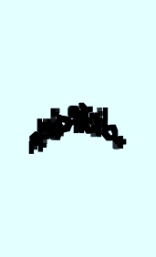 CC(C)n1c(=O)c(-c2cc(F)c(NS(=O)(=O)CC3CCC3(F)F)c(F)c2)nc2cnc(NC3CCC(N(C)C)CC3)nc21